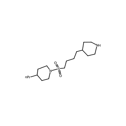 CCCC1CCN(S(=O)(=O)CCCCC2CCNCC2)CC1